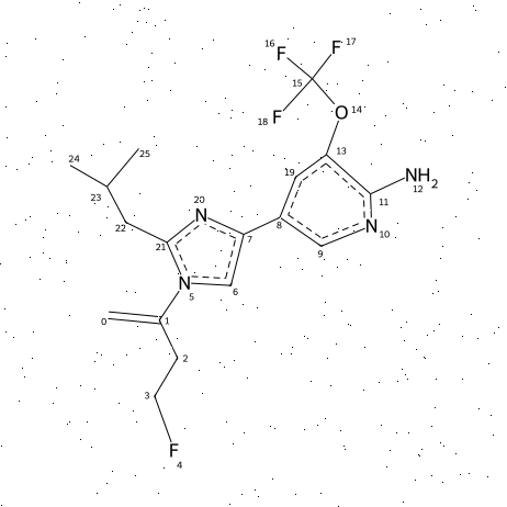 C=C(CCF)n1cc(-c2cnc(N)c(OC(F)(F)F)c2)nc1CC(C)C